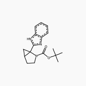 CC(C)(C)OC(=O)N1CCC2CC21c1nc2ccccc2[nH]1